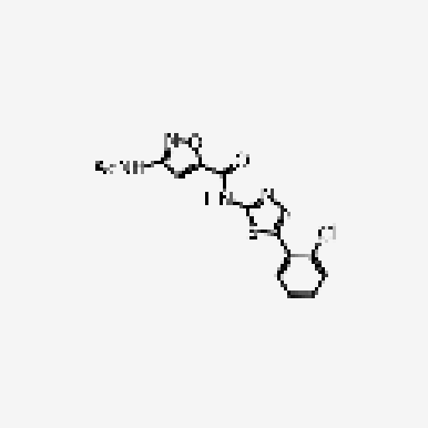 CC(=O)Nc1cc(C(=O)Nc2nnc(-c3ccccc3Cl)s2)on1